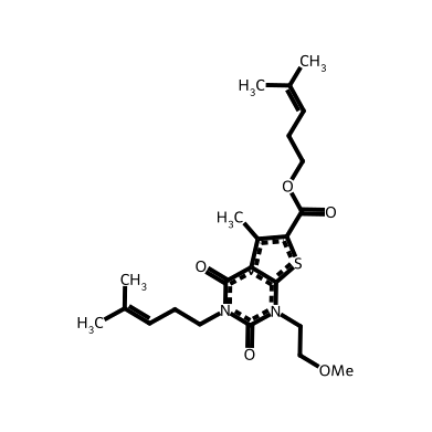 COCCn1c(=O)n(CCC=C(C)C)c(=O)c2c(C)c(C(=O)OCCC=C(C)C)sc21